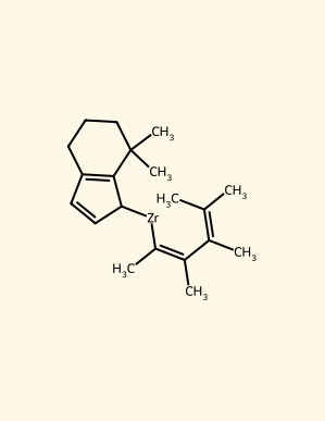 CC(C)=C(C)C(C)=[C](C)[Zr][CH]1C=CC2=C1C(C)(C)CCC2